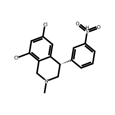 CN1Cc2c(Cl)cc(Cl)cc2[C@H](c2cccc([SH](=O)=O)c2)C1